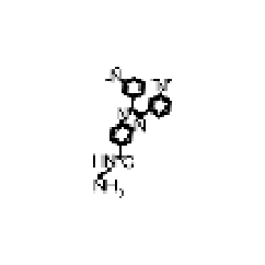 CN(C)c1cccc(-c2nc3ccc(C(=O)NCCN)cc3nc2-c2cccc(N(C)C)c2)c1